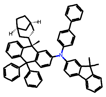 CC1(C)c2ccccc2-c2ccc(N(c3ccc(-c4ccccc4)cc3)c3ccc4c(c3)[C@@](C)([C@H]3C[C@@H]5CC[C@@H](C5)C3)c3ccccc3C4(c3ccccc3)c3ccccc3)cc21